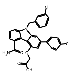 NC(=O)c1cccc2c1c1c(OCC(=O)O)cc(-c3ccc(Cl)cc3)cc1n2Cc1cccc(Cl)c1